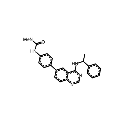 CNC(=O)Nc1ccc(-c2ccc3ncnc(NC(C)c4ccccc4)c3c2)cc1